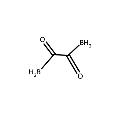 BC(=O)C(B)=O